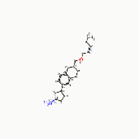 CC/C=C\COCC1CCc2cc(C3CC[C@@H](N)C3)ccc2C1